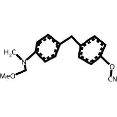 COCN(C)c1ccc(Cc2ccc(OC#N)cc2)cc1